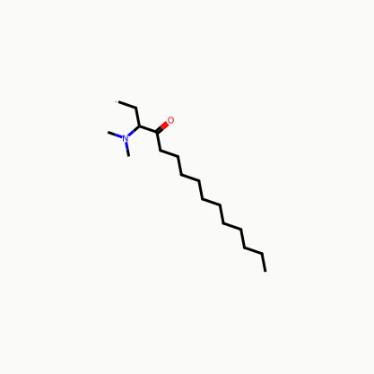 [CH2]CC(C(=O)CCCCCCCCCCC)N(C)C